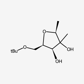 C[C@@H]1O[C@H](COC(C)(C)C)[C@H](O)C1(C)O